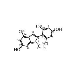 Cn1c(-c2c(Cl)cc(O)cc2Cl)cc2c(Cl)cc(O)cc21